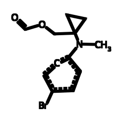 CN(c1ccc(Br)cc1)C1(COC=O)CC1